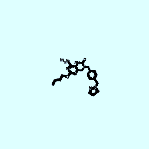 CCCCOc1nc(N)c2c(n1)CN(Cc1ccc(Cn3cccn3)cc1)C(=O)N2